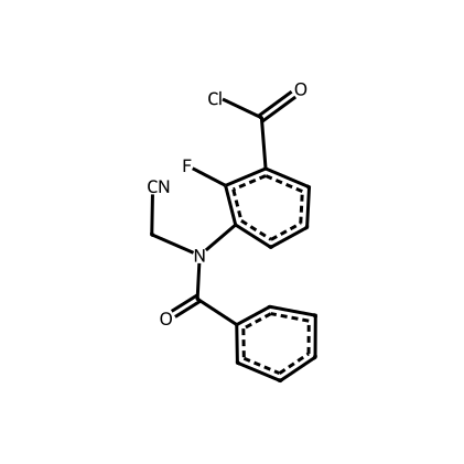 N#CCN(C(=O)c1ccccc1)c1cccc(C(=O)Cl)c1F